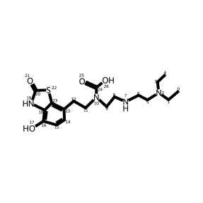 CCN(CC)CCNCCN(CCc1ccc(O)c2[nH]c(=O)sc12)C(=O)O